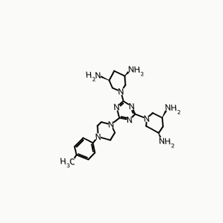 Cc1ccc(N2CCN(c3nc(N4C[C@H](N)C[C@H](N)C4)nc(N4C[C@H](N)C[C@H](N)C4)n3)CC2)cc1